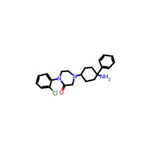 NC1(c2ccccc2)CCC(N2CCN(c3ccccc3Cl)C(=O)C2)CC1